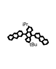 CC(C)c1ccc2c(-c3ccc4cc5ccccc5cc4c3)c3cc(C(C)(C)C)ccc3c(-c3ccc4cc5ccccc5cc4c3)c2c1